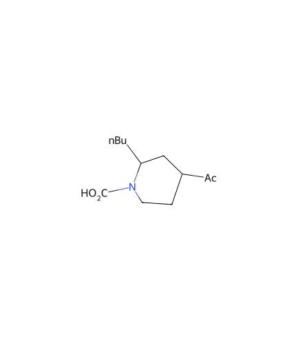 CCCCC1CC(C(C)=O)CCN1C(=O)O